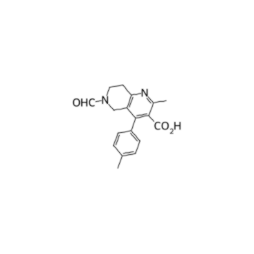 Cc1ccc(-c2c3c(nc(C)c2C(=O)O)CCN(C=O)C3)cc1